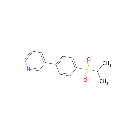 CC(C)S(=O)(=O)c1ccc(-c2cccnc2)cc1